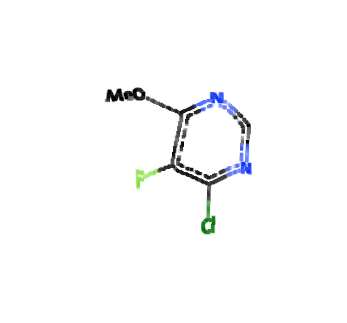 COc1ncnc(Cl)c1F